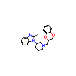 Cc1nc2ccccc2n1C1CCCN(CC2COc3ccccc3O2)C1